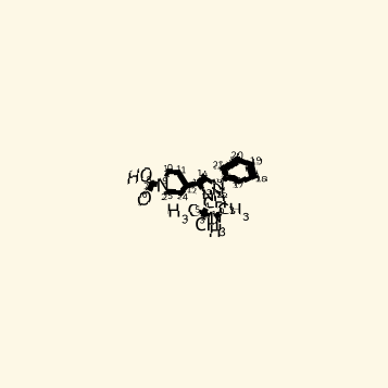 CNC(C)(C)C.O=C(O)N1CC=C(c2cn(-c3ccccc3)nn2)CC1